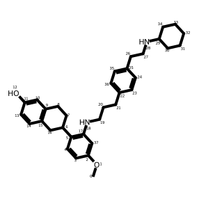 COc1ccc(C2CCc3cc(O)ccc3C2)c(NCCCc2ccc(CCNC3CCCCC3)cc2)c1